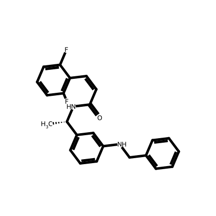 C[C@H](NC(=O)/C=C\c1c(F)cccc1F)c1cccc(NCc2ccccc2)c1